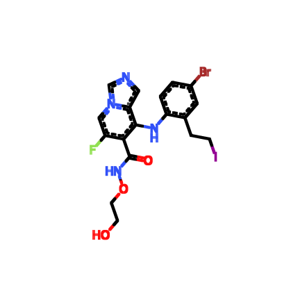 O=C(NOCCO)c1c(F)cn2cncc2c1Nc1ccc(Br)cc1CCI